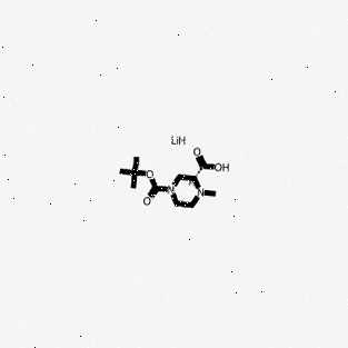 CN1CCN(C(=O)OC(C)(C)C)C[C@@H]1C(=O)O.[LiH]